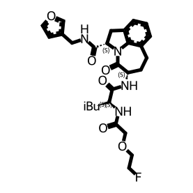 CC[C@H](C)[C@H](NC(=O)COCCF)C(=O)N[C@H]1CCc2cccc3c2N(C1=O)[C@H](C(=O)NCc1ccoc1)C3